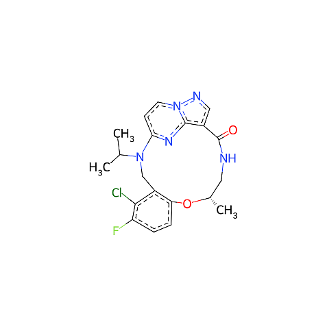 CC(C)N1Cc2c(ccc(F)c2Cl)O[C@@H](C)CNC(=O)c2cnn3ccc1nc23